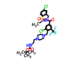 CCS(=O)(=O)c1ccc(Cl)cc1CNC(=O)c1cc(Cl)c(CN2CCN(CCNC(=O)OC(C)(C)C)CC2)c(C(F)(F)F)c1